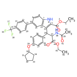 CCOC(=O)c1[nH]c2ccc(-c3ccc(C(F)(F)F)cc3)cc2c1C(c1ccc(OC2CCCC2)cc1)C(NC(C)=O)C(=O)OCC